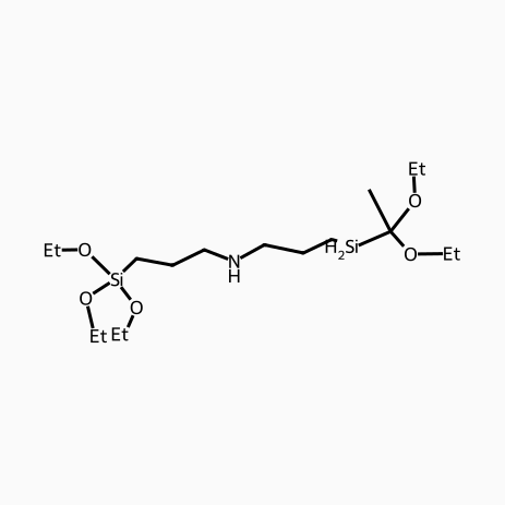 CCOC(C)(OCC)[SiH2]CCCNCCC[Si](OCC)(OCC)OCC